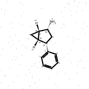 N[C@@H]1C[C@H](c2ccccc2)[C@@H]2C[C@@H]21